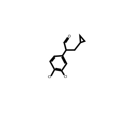 O=[C]C(CC1CC1)c1ccc(Cl)c(Cl)c1